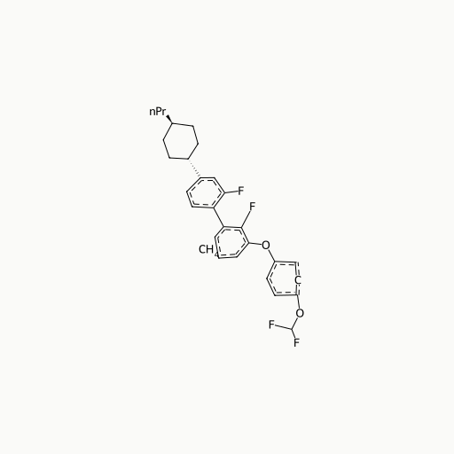 C.CCC[C@H]1CC[C@H](c2ccc(-c3cccc(Oc4ccc(OC(F)F)cc4)c3F)c(F)c2)CC1